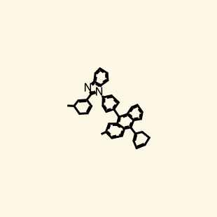 Cc1ccc2c(C3=CC=CCC3)c3ccccc3c(-c3ccc(-n4c(C5=CC(C)CC=C5)nc5ccccc54)cc3)c2c1